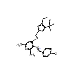 CCn1nc(COc2cc(N)nc(N)c2/N=N/c2ccc(Cl)cc2)cc1C(F)(F)F